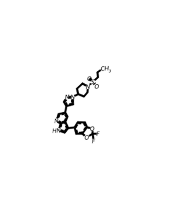 CCCS(=O)(=O)N1CCC(n2cc(-c3cnc4[nH]cc(-c5ccc6c(c5)OC(F)(F)O6)c4c3)cn2)CC1